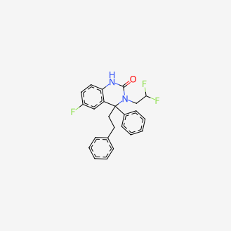 O=C1Nc2ccc(F)cc2C(CCc2ccccc2)(c2ccccc2)N1CC(F)F